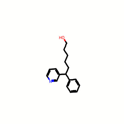 OCCCCCC(c1ccccc1)c1cccnc1